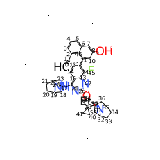 C#Cc1cccc2cc(O)cc(-c3ccc4c(N5CC6CCC(C5)N6)nc(OCC5(CN6C7CCC6CC(CC)C7)CC5)nc4c3F)c12